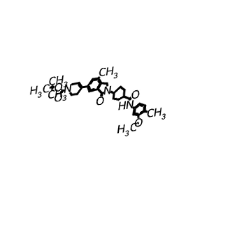 COc1cc(NC(=O)C2CCC(N3Cc4c(C)cc(C5=CCN(C(=O)OC(C)(C)C)CC5)cc4C3=O)CC2)ccc1C